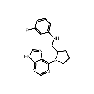 Fc1cccc(NCC2CCCN2c2ncnc3[nH]cnc23)c1